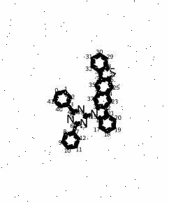 c1ccc(-c2nc(-c3ccccc3)nc(-n3c4ccccc4c4cc5cc6sc7ccccc7c6cc5cc43)n2)cc1